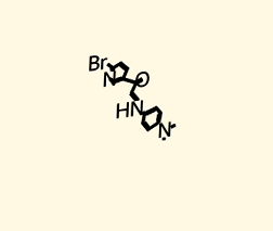 CN(C)c1ccc(NC=CC(=O)c2ccc(Br)nc2)cc1